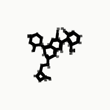 CC1CNCCN1c1nc(OCC2CCN2C)nc2nc(-c3c(O)cccc3F)c(F)cc12